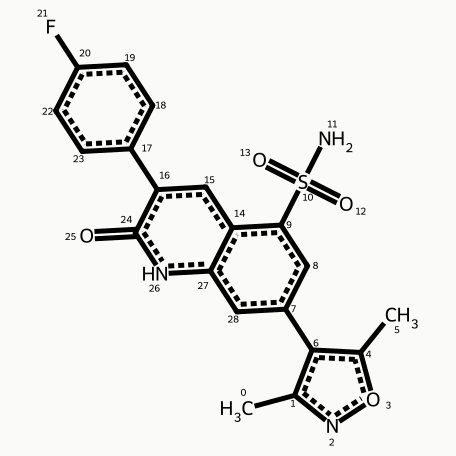 Cc1noc(C)c1-c1cc(S(N)(=O)=O)c2cc(-c3ccc(F)cc3)c(=O)[nH]c2c1